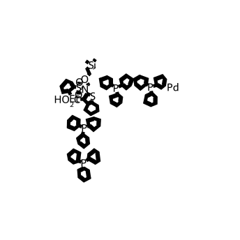 CCc1ccccc1S(=O)(=O)N(COCC[Si](C)(C)C)c1sc2c(c1C(=O)O)CCCC2.[Pd].c1ccc(P(c2ccccc2)c2ccccc2)cc1.c1ccc(P(c2ccccc2)c2ccccc2)cc1.c1ccc(P(c2ccccc2)c2ccccc2)cc1.c1ccc(P(c2ccccc2)c2ccccc2)cc1